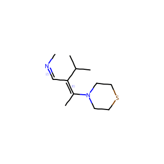 C/N=C\C(=C(/C)N1CCSCC1)C(C)C